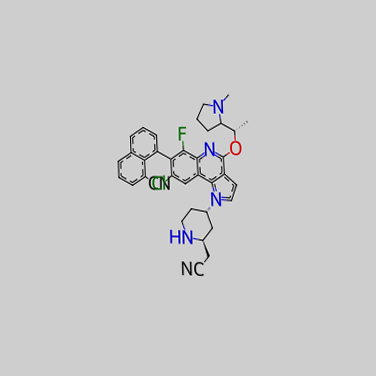 C[C@H](Oc1nc2c(F)c(-c3cccc4cccc(C#N)c34)c(Cl)cc2c2c1ccn2[C@H]1CCN[C@H](CC#N)C1)C1CCCN1C